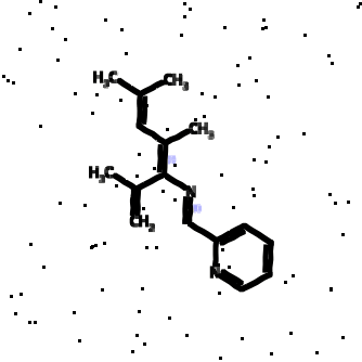 C=C(C)C(/N=C/c1ccccn1)=C(/C)C=C(C)C